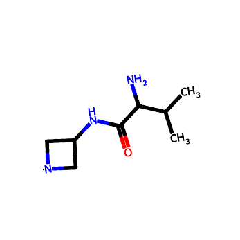 CC(C)C(N)C(=O)NC1C[N]C1